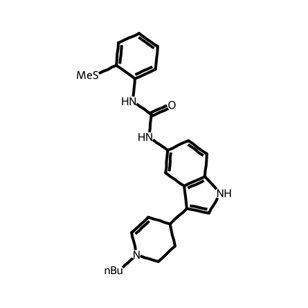 CCCCN1C=CC(c2c[nH]c3ccc(NC(=O)Nc4ccccc4SC)cc23)CC1